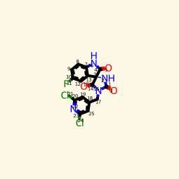 O=C1N[C@]2(C(=O)Nc3ccc(F)cc32)C(=O)N1Cc1cc(Cl)nc(Cl)c1